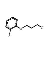 Fc1ccccc1OCCCCl